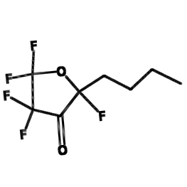 CCCCC1(F)OC(F)(F)C(F)(F)C1=O